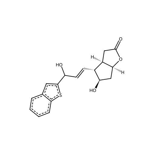 O=C1C[C@@H]2[C@@H](C=CC(O)c3cc4ccccc4s3)[C@H](O)C[C@@H]2O1